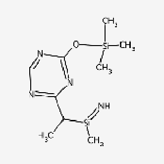 CC(c1ncnc(O[Si](C)(C)C)n1)[Si](C)=N